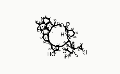 CCn1c(-c2cccnc2[C@H](C)OC)c2c3cc(ccc31)-c1cc(O)cc(c1)C[C@H](NC(=O)[C@H](C(C)C)N(C)C(=O)[C@H]1C[C@H]1Cl)C(=O)N1CCC[C@H](N1)C(=O)OCC(C)(C)C2